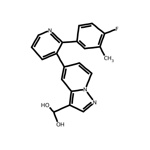 Cc1cc(-c2ncccc2-c2ccn3ncc(C(O)O)c3c2)ccc1F